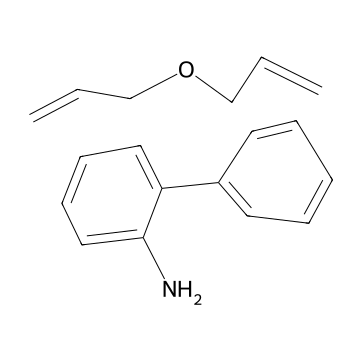 C=CCOCC=C.Nc1ccccc1-c1ccccc1